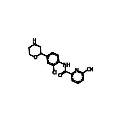 N#Cc1cccc(C(=O)Nc2ccc(C3CNCCO3)cc2Cl)n1